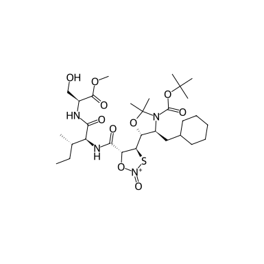 CC[C@H](C)[C@H](NC(=O)[C@H]1O[N+](=O)S[C@@H]1[C@@H]1OC(C)(C)N(C(=O)OC(C)(C)C)[C@H]1CC1CCCCC1)C(=O)N[C@@H](CO)C(=O)OC